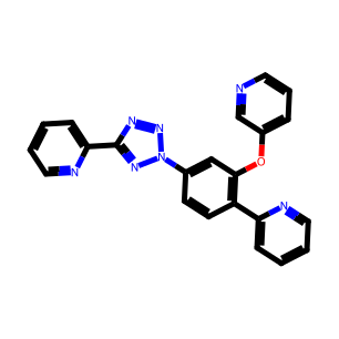 c1ccc(-c2nnn(-c3ccc(-c4ccccn4)c(Oc4cccnc4)c3)n2)nc1